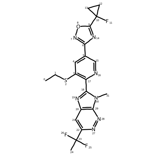 CCSc1cc(-c2noc(C3(F)CC3)n2)cnc1-c1nc2cc(C(C)(F)F)nnc2n1C